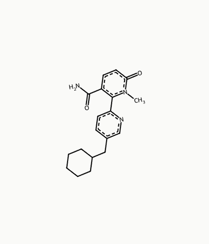 Cn1c(-c2ccc(CC3CCCCC3)cn2)c(C(N)=O)ccc1=O